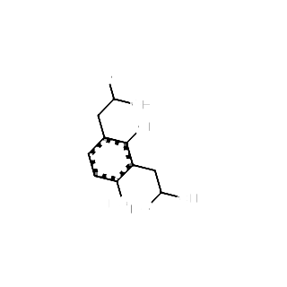 Oc1ccc(CC(O)O)c(O)c1CC(O)O